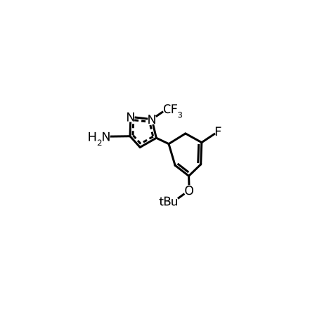 CC(C)(C)OC1=CC(c2cc(N)nn2C(F)(F)F)CC(F)=C1